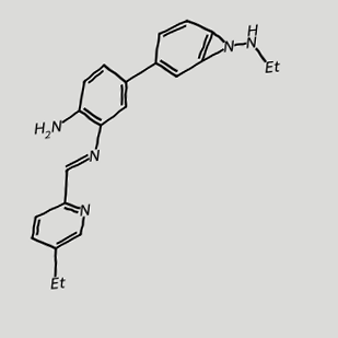 CCNN1c2ccc(-c3ccc(N)c(/N=C/c4ccc(CC)cn4)c3)cc21